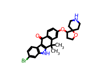 CC1(C)c2cc(OC3CCOC34CCNCC4)ccc2C(=O)c2c1[nH]c1cc(Br)ccc21